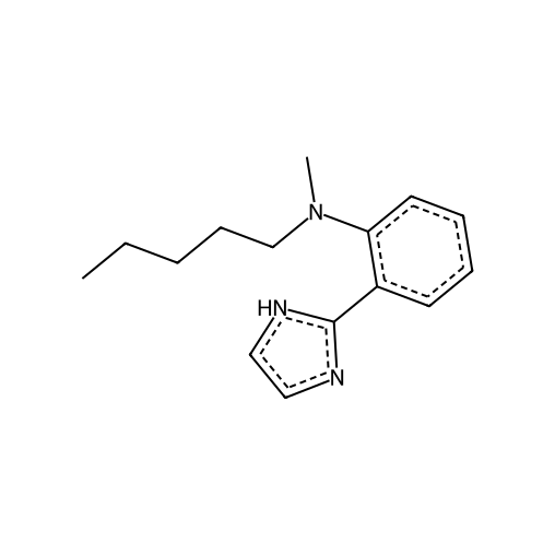 CCCCCN(C)c1ccccc1-c1ncc[nH]1